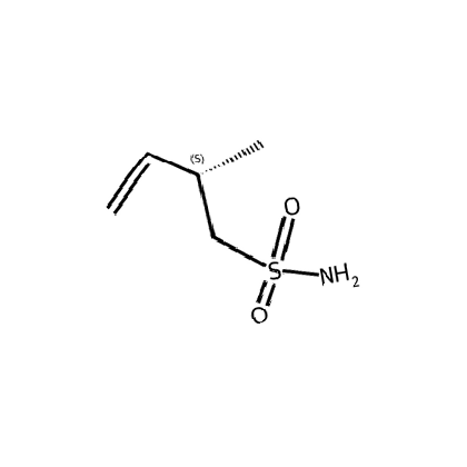 C=C[C@H](C)CS(N)(=O)=O